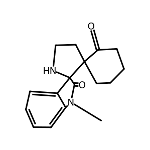 CN1C(=O)C2(NCCC23CCCCC3=O)c2ccccc21